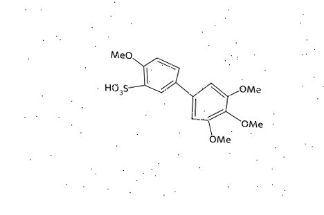 COc1ccc(-c2cc(OC)c(OC)c(OC)c2)cc1S(=O)(=O)O